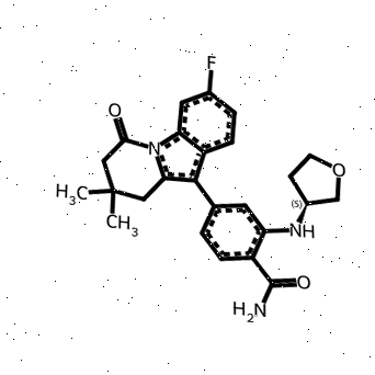 CC1(C)CC(=O)n2c(c(-c3ccc(C(N)=O)c(N[C@H]4CCOC4)c3)c3ccc(F)cc32)C1